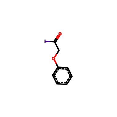 O=C(I)COc1ccccc1